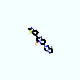 Cc1nc2ccc(-c3cc(=O)n4cc(N5CCN6CCC[C@H]6C5)ccc4n3)cc2s1